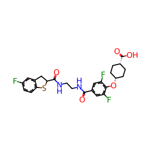 O=C(NCCNC(=O)C1Cc2cc(F)ccc2S1)c1cc(F)c(O[C@H]2CC[C@@H](C(=O)O)CC2)c(F)c1